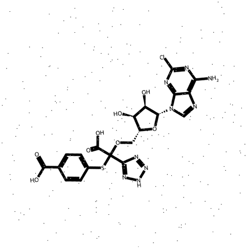 Nc1nc(Cl)nc2c1ncn2[C@@H]1O[C@H](COC(Sc2ccc(C(=O)O)cc2)(C(=O)O)c2nn[nH]n2)[C@@H](O)[C@H]1O